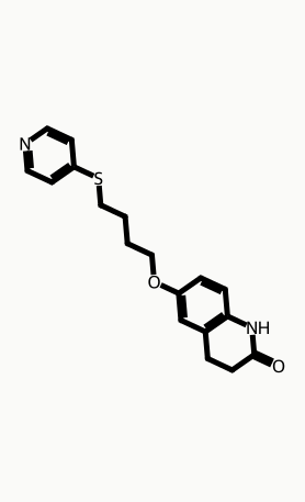 O=C1CCc2cc(OCCCCSc3ccncc3)ccc2N1